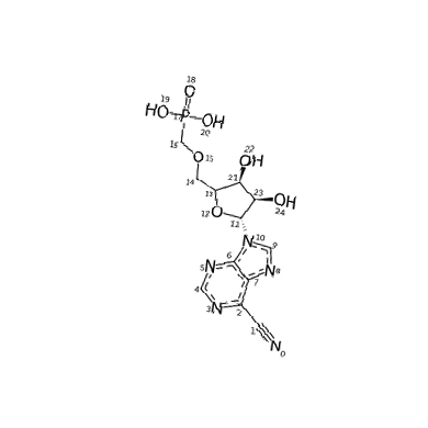 N#Cc1ncnc2c1ncn2[C@@H]1OC(COCP(=O)(O)O)[C@@H](O)[C@H]1O